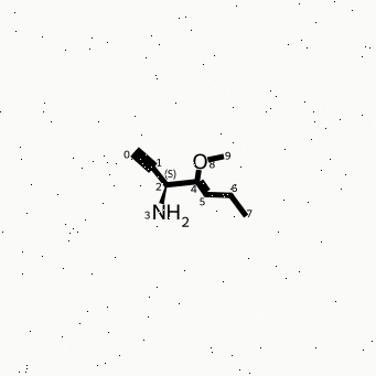 C#C[C@H](N)C(=CCC)OC